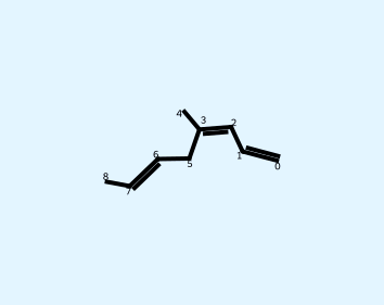 C=CC=C(C)CC=CC